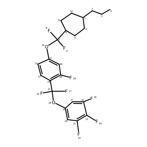 CCCC1CCC(C(F)(F)Oc2ccc(C(F)(F)Oc3cc(F)c(F)c(F)c3)c(F)c2)CC1